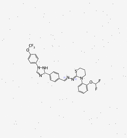 FC(F)Oc1ccccc1N1CCCS/C1=N\N=C\c1ccc(C2N=CN(c3ccc(OC(F)(F)F)cc3)N2)cc1